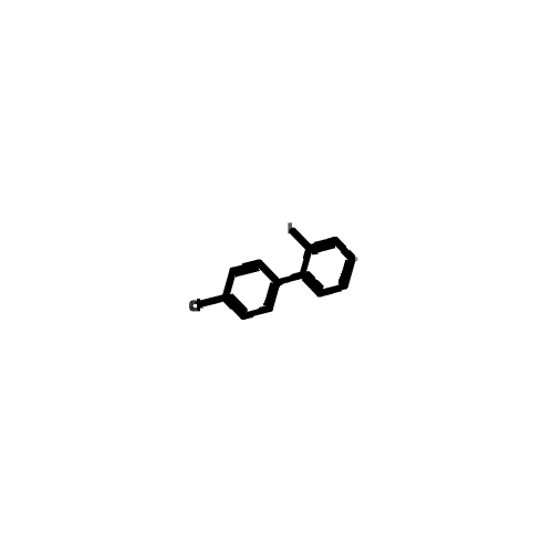 Clc1ccc(-c2cc[c]cc2I)cc1